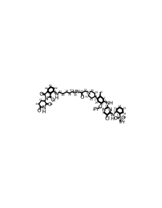 Cc1cc(Nc2ncc(Cl)c(Nc3ccccc3S(=O)(=O)C(C)C)n2)c(OC(C)C)cc1C1CCN(CC(=O)NCCCCCCNc2cccc3c2C(=O)N(C2CCC(=O)NC2=O)C3=O)CC1